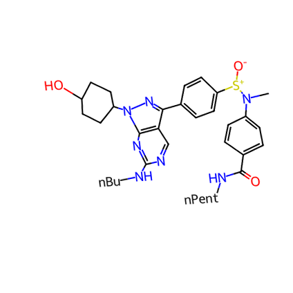 CCCCCNC(=O)c1ccc(N(C)[S+]([O-])c2ccc(-c3nn(C4CCC(O)CC4)c4nc(NCCCC)ncc34)cc2)cc1